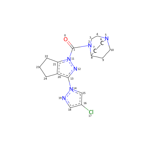 O=C(N1CCN2CCC1CC2)n1nc(-n2cc(Cl)cn2)c2c1CCC2